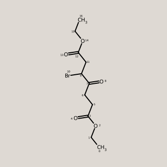 CCOC(=O)CCC(=O)C(Br)CC(=O)OCC